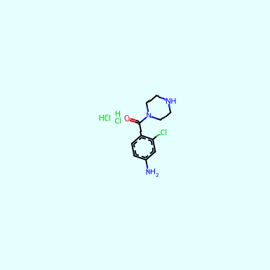 Cl.Cl.Nc1ccc(C(=O)N2CCNCC2)c(Cl)c1